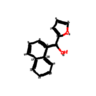 OC(c1ccco1)c1cccc2ccccc12